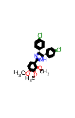 COc1ccc(C2=N[C@H](c3ccc(Cl)cc3)[C@H](c3ccc(Cl)cc3)N2)c(OC)c1OC